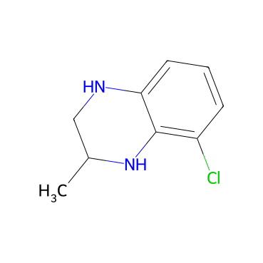 CC1CNc2cccc(Cl)c2N1